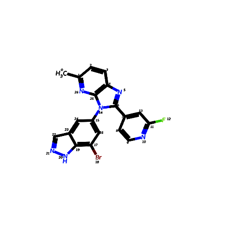 Cc1ccc2nc(-c3ccnc(F)c3)n(-c3cc(Br)c4[nH]ncc4c3)c2n1